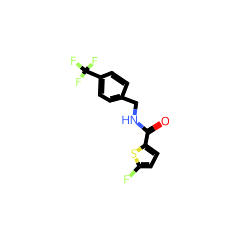 O=C(NCc1ccc(C(F)(F)F)cc1)c1ccc(F)s1